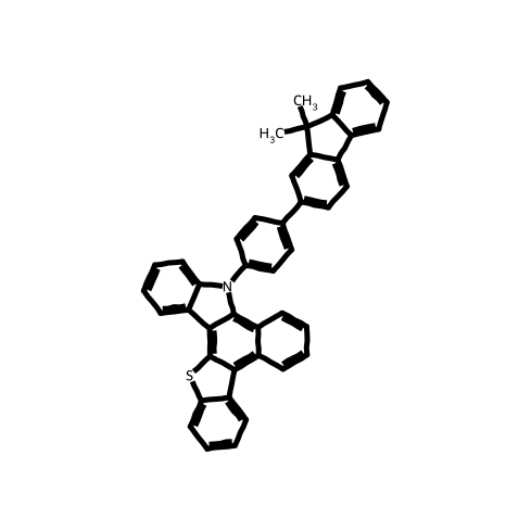 CC1(C)c2ccccc2-c2ccc(-c3ccc(-n4c5ccccc5c5c6sc7ccccc7c6c6ccccc6c54)cc3)cc21